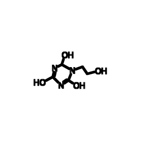 OCCN1C(O)=NC(O)=NC1O